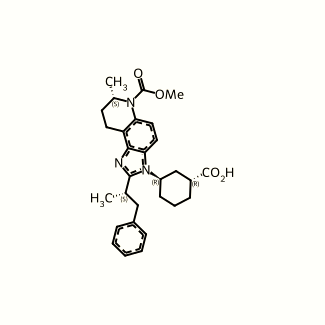 COC(=O)N1c2ccc3c(nc([C@@H](C)Cc4ccccc4)n3[C@@H]3CCC[C@@H](C(=O)O)C3)c2CC[C@@H]1C